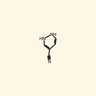 N#CC1=CNNC=C1